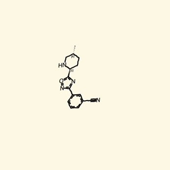 C[C@@H]1CC[C@@H](c2nc(-c3cccc(C#N)c3)no2)NC1